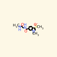 CNC(=O)CNC(=O)c1ccc2c([S+](C)[O-])cn(C)c2c1